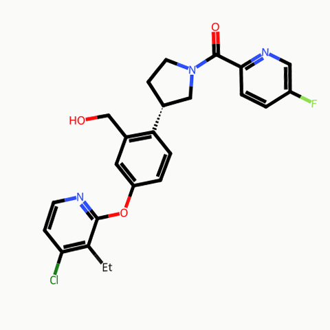 CCc1c(Cl)ccnc1Oc1ccc([C@@H]2CCN(C(=O)c3ccc(F)cn3)C2)c(CO)c1